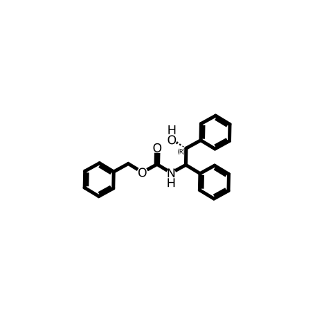 O=C(NC(c1ccccc1)[C@H](O)c1ccccc1)OCc1ccccc1